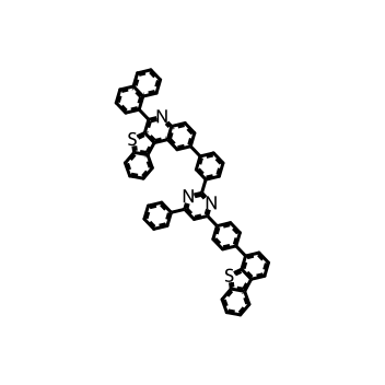 c1ccc(-c2cc(-c3ccc(-c4cccc5c4sc4ccccc45)cc3)nc(-c3cccc(-c4ccc5nc(-c6cccc7ccccc67)c6sc7ccccc7c6c5c4)c3)n2)cc1